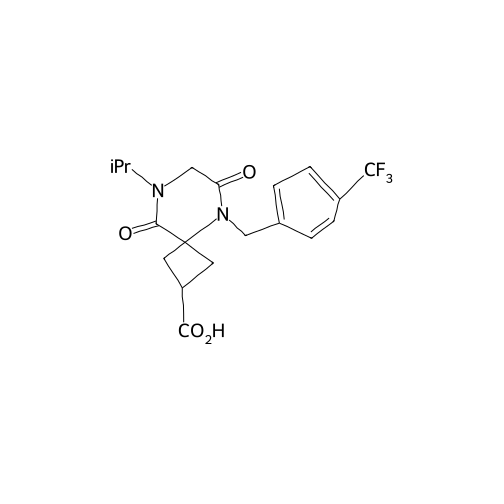 CC(C)N1CC(=O)N(Cc2ccc(C(F)(F)F)cc2)C2(CC(C(=O)O)C2)C1=O